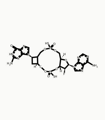 Nc1nc2c(ncn2[C@@H]2C[C@@H]3COP(=O)(S)O[C@H]4[C@H](F)[C@H](n5cnc6c(N)ncnc65)O[C@@H]4COP(=O)(S)OCC32)c(=O)[nH]1